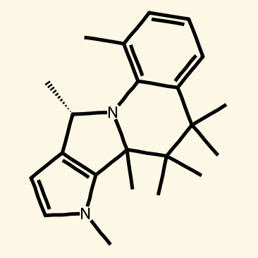 Cc1cccc2c1N1[C@@H](C)c3ccn(C)c3C1(C)C(C)(C)C2(C)C